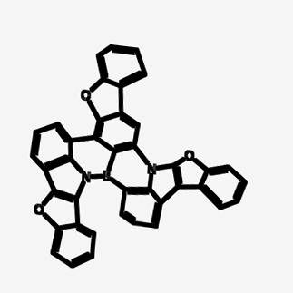 c1ccc2c(c1)oc1c3c4c(cc12)-n1c2oc5ccccc5c2c2cccc(c21)B4n1c2c-3cccc2c2oc3ccccc3c21